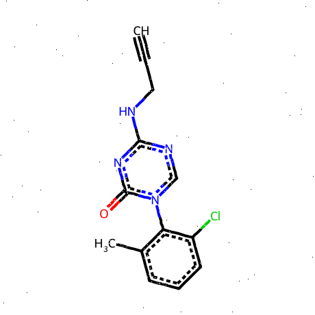 C#CCNc1ncn(-c2c(C)cccc2Cl)c(=O)n1